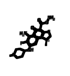 C[C@@H]1CSc2c(C(=O)ON)c(=O)c3c(N)c(F)c(NC4CCN(C)CC4)cc3n21